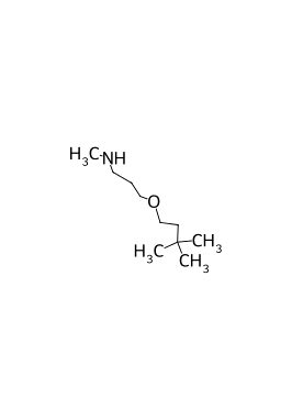 CNCCCOCCC(C)(C)C